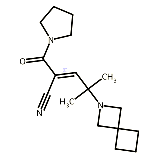 CC(C)(/C=C(\C#N)C(=O)N1CCCC1)N1CC2(CCC2)C1